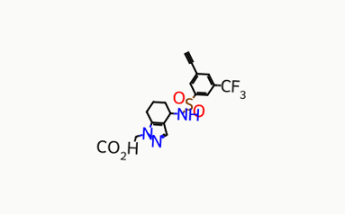 C#Cc1cc(C(F)(F)F)cc(S(=O)(=O)NC2CCCc3c2cnn3CC(=O)O)c1